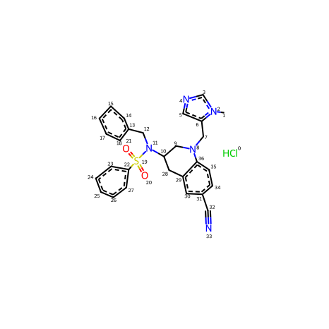 Cl.Cn1cncc1CN1CC(N(Cc2ccccc2)S(=O)(=O)c2ccccc2)Cc2cc(C#N)ccc21